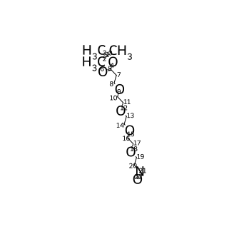 CC(C)(C)OC(=O)CCOCCOCCOCCOCCN=O